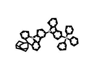 c1ccc([Si](c2ccccc2)(c2ccccc2)c2ccc3c(c2)c2ccccc2n3-c2ccc3c(c2)c2cccc4c2n3-c2ccccc2C42C3CC4CC(C3)CC2C4)cc1